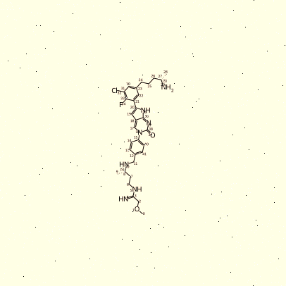 COCC(=N)NCC[C@H](C)NCc1ccc(-n2cc3cc(-c4cc(CCC[C@H](C)N)cc(Cl)c4F)[nH]c3nc2=O)cc1